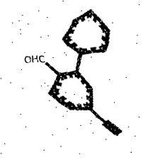 C#Cc1ccc(C=O)c(-c2ccccc2)c1